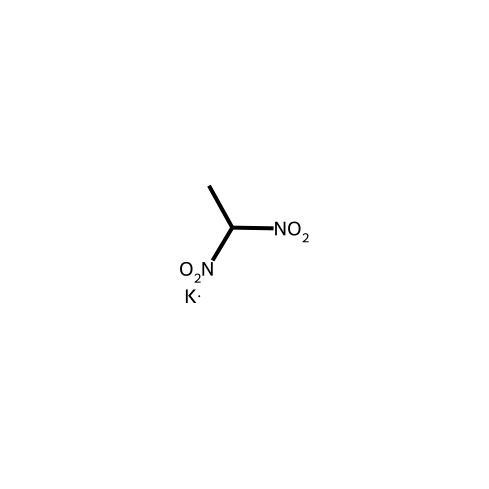 CC([N+](=O)[O-])[N+](=O)[O-].[K]